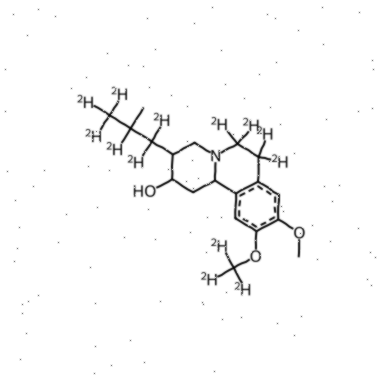 [2H]C([2H])([2H])Oc1cc2c(cc1OC)C([2H])([2H])C([2H])([2H])N1CC(C([2H])([2H])C([2H])(C)C([2H])([2H])[2H])C(O)CC21